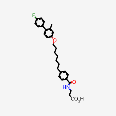 Cc1cc(OCCCCCCCc2ccc(C(=O)NCCC(=O)O)cc2)ccc1-c1ccc(F)cc1